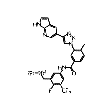 Cc1ccc(C(=O)Nc2cc(CNC(C)C)c(F)c(C(F)(F)F)c2)cc1-n1cc(-c2cnc3[nH]ccc3c2)nn1